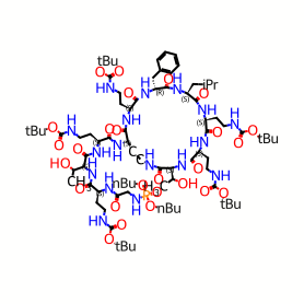 CCCCOP(=O)(NCC(=O)N[C@@H](CCNC(=O)OC(C)(C)C)C(=O)N[C@H](C(=O)N[C@@H](CCNC(=O)OC(C)(C)C)C(=O)N[C@H]1CCNC(=O)[C@H](C(C)O)NC(=O)[C@H](CCNC(=O)OC(C)(C)C)NC(=O)[C@H](CCNC(=O)OC(C)(C)C)NC(=O)[C@H](CC(C)C)NC(=O)[C@@H](Cc2ccccc2)NC(=O)[C@H](CCNC(=O)OC(C)(C)C)NC1=O)C(C)O)OCCCC